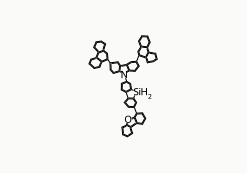 c1ccc2c(c1)cc(-c1ccc3c(c1)c1cc(-c4cc5ccccc5c5ccccc45)ccc1n3-c1ccc3c(c1)[SiH2]c1cc(-c4cccc5c4oc4ccccc45)ccc1-3)c1ccccc12